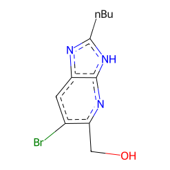 CCCCc1nc2cc(Br)c(CO)nc2[nH]1